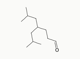 CC(C)CC(CCC=O)CC(C)C